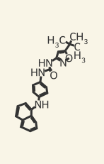 CC(C)(C)c1cc(NC(=O)Nc2ccc(Nc3cccc4ccccc34)cc2)no1